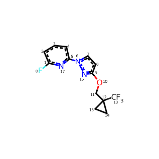 Fc1cccc(-n2ccc(OCC3(C(F)(F)F)CC3)n2)n1